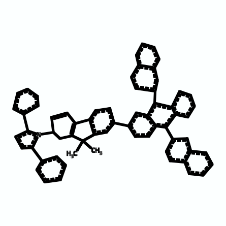 CC1(C)C2=C(C=CC(n3c(-c4ccccc4)ccc3-c3ccccc3)C2)c2ccc(-c3ccc4c(-c5ccc6ccccc6c5)c5ccccc5c(-c5ccc6ccccc6c5)c4c3)cc21